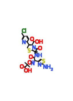 CC(C)(O/N=C(\C(=O)N[C@@H]1C(=O)N2C(C(=O)O)=C(c3ccc(CCl)cn3)CSC12)c1csc(N)n1)C(=O)O